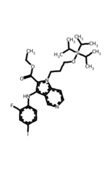 CCOC(=O)c1c(Nc2ccc(I)cc2F)c2cnccc2n1CCCO[Si](C(C)C)(C(C)C)C(C)C